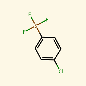 FS(F)(F)c1ccc(Cl)cc1